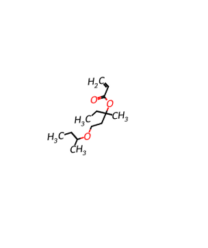 C=CC(=O)OC(C)(CC)CCOC(C)CC